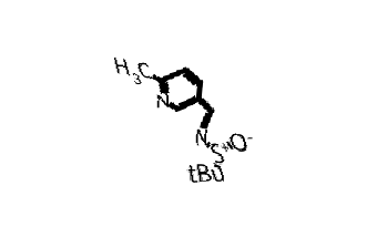 Cc1ccc(/C=N/[S+]([O-])C(C)(C)C)cn1